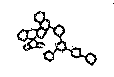 c1ccc(-c2ccc(-c3cc(-c4cccc(-c5nc6ccccc6c6c7c(ccc56)C5(c6ccccc6S7)c6ccccc6-c6ccccc65)c4)nc(-c4ccccc4)n3)cc2)cc1